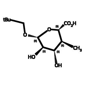 C[C@H]1[C@H](O)[C@@H](O)[C@H](OCC(C)(C)C)O[C@@H]1C(=O)O